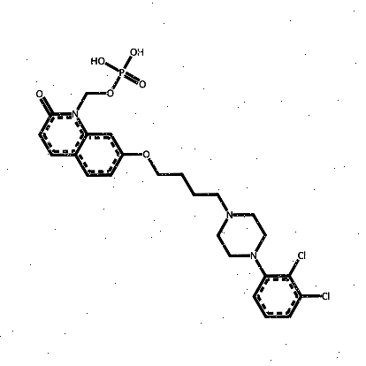 O=c1ccc2ccc(OCCCCN3CCN(c4cccc(Cl)c4Cl)CC3)cc2n1COP(=O)(O)O